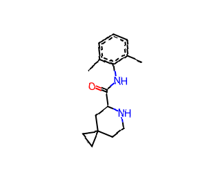 Cc1cccc(C)c1NC(=O)C1CC2(CCN1)CC2